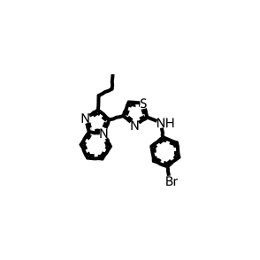 CCCc1nc2ccccn2c1-c1csc(Nc2ccc(Br)cc2)n1